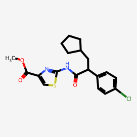 COC(=O)c1csc(NC(=O)C(CC2CCCC2)c2ccc(Cl)cc2)n1